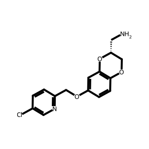 NC[C@@H]1COc2ccc(OCc3ccc(Cl)cn3)cc2O1